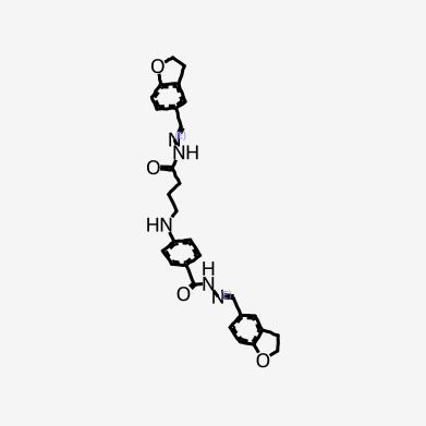 O=C(CCCNc1ccc(C(=O)N/N=C/c2ccc3c(c2)CCO3)cc1)N/N=C/c1ccc2c(c1)CCO2